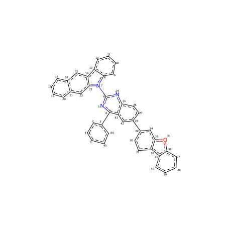 c1ccc(-c2nc(-n3c4ccccc4c4cc5ccccc5cc43)nc3ccc(-c4ccc5c(c4)oc4ccccc45)cc23)cc1